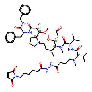 CO[C@H]([C@@H](C)C(=O)N[C@@H](Cc1ccccc1)C(=O)NCc1ccccc1)[C@@H]1CCCN1CC[C@H](C)[C@@H]([C@@H](CC=O)OC)N(C)C(=O)[C@@H](NC(=O)[C@H](C(C)C)N(C)CCCC(=O)NNC(=O)CCCCCN1C(=O)C=CC1=O)C(C)C